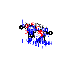 CC[C@H](C)[C@H](NC(=O)[C@H](Cc1c[nH]c2ccccc12)NC(=O)[C@@H](NC(=O)[C@H](CC(C)C)NC(=O)[C@H](Cc1c[nH]c2ccccc12)NC(=O)[C@@H](N)CCCNC(=N)N)C(C)C)C(=O)N[C@@H](Cc1c[nH]c2ccccc12)C(=O)N[C@@H](CCCNC(=N)N)C(=O)N[C@@H](CCCNC(=N)N)C(=O)O